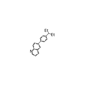 CCC(CC)c1ccc(-c2ccc3ncccc3c2)cc1